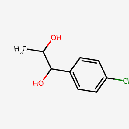 CC(O)C(O)c1ccc(Cl)cc1